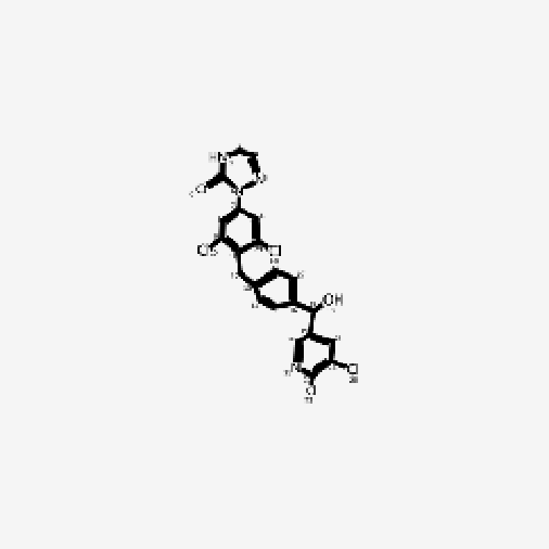 O=C1NCC=NN1c1cc(Cl)c(Cc2ccc(C(O)c3cnc(Cl)c(Cl)c3)cc2)c(Cl)c1